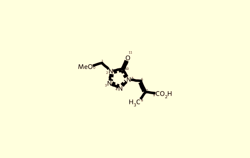 COCn1nnn(C=C(C)C(=O)O)c1=O